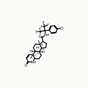 C[C@]12C=CC(=O)NC1CC[C@@H]1[C@H]2CC[C@]2(C)C(C(=O)NC(c3ccc(Cl)cc3)(C(F)(F)F)C(F)(F)F)CC[C@@H]12